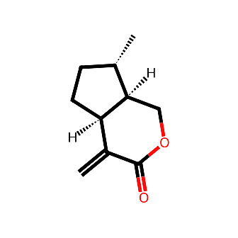 C=C1C(=O)OC[C@H]2[C@@H]1CC[C@@H]2C